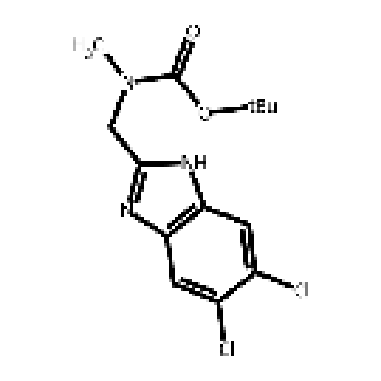 CN(Cc1nc2cc(Cl)c(Cl)cc2[nH]1)C(=O)OC(C)(C)C